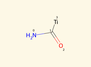 N[C](=O)[Ti]